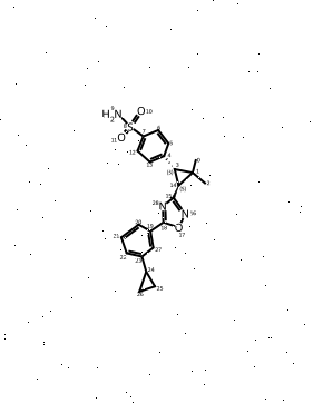 CC1(C)[C@@H](c2ccc(S(N)(=O)=O)cc2)[C@@H]1c1noc(-c2cccc(C3CC3)c2)n1